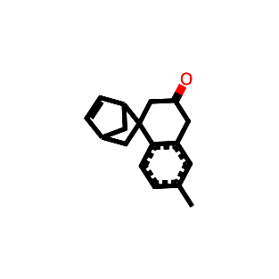 Cc1ccc2c(c1)CC(=O)CC21CC2C=CC1C2